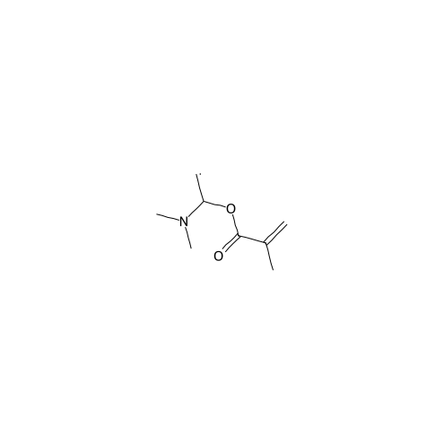 [CH2]C(OC(=O)C(=C)C)N(C)C